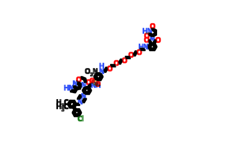 CC1(C)CCC(CN2CCN(c3ccc(C(=O)NS(=O)(=O)c4ccc(NCCOCCOCCOCCOCCOCCNc5cccc6c5C(=O)N(C5CCC(=O)NC5=O)C6=O)c([N+](=O)[O-])c4)c(N4CCCOc5nc6[nH]ccc6cc54)c3)CC2)=C(c2ccc(Cl)cc2)C1